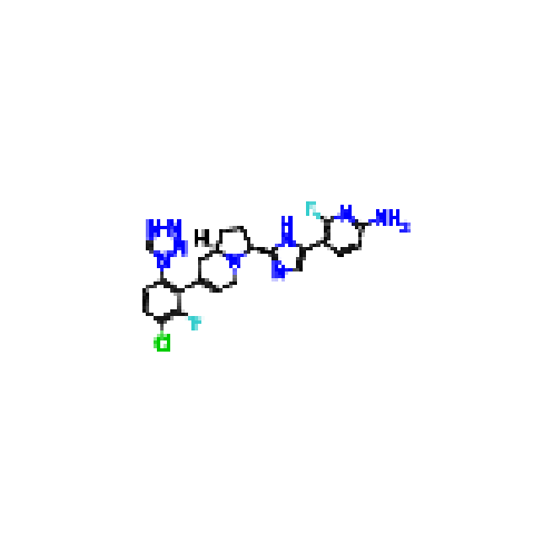 Nc1ccc(-c2cnc([C@@H]3CC[C@@H]4CC(c5c(-n6cnnn6)ccc(Cl)c5F)=CCN43)[nH]2)c(F)n1